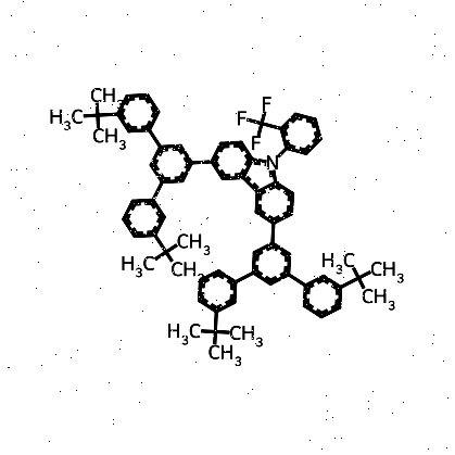 CC(C)(C)c1cccc(-c2cc(-c3cccc(C(C)(C)C)c3)cc(-c3ccc4c(c3)c3cc(-c5cc(-c6cccc(C(C)(C)C)c6)cc(-c6cccc(C(C)(C)C)c6)c5)ccc3n4-c3ccccc3C(F)(F)F)c2)c1